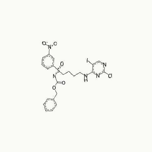 O=C(N=S(=O)(CCCCNc1nc(Cl)ncc1I)c1cccc([N+](=O)[O-])c1)OCc1ccccc1